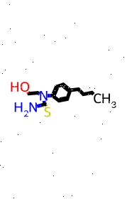 CCCCc1ccc(N(CCO)C(N)=S)cc1